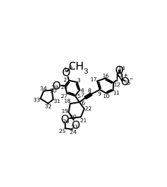 COc1ccc(C2(C#Cc3ccc([N+](=O)[O-])cc3)CCC3(CC2)OCCO3)cc1OC1CCCC1